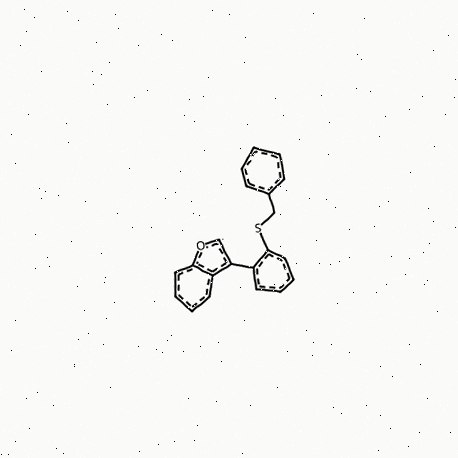 [c]1oc2ccccc2c1-c1ccccc1SCc1ccccc1